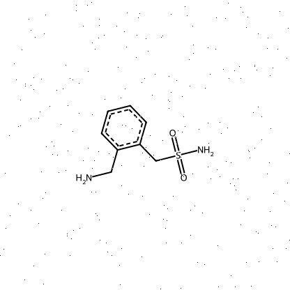 NCc1ccccc1CS(N)(=O)=O